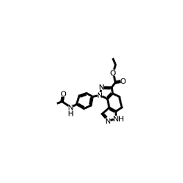 CCOC(=O)c1nn(-c2ccc(NC(C)=O)cc2)c2c1CCc1[nH]ncc1-2